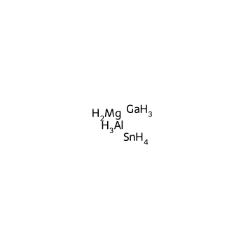 [AlH3].[GaH3].[MgH2].[SnH4]